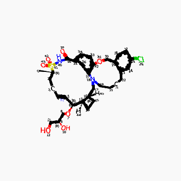 C[C@@H]1CC/C=C/[C@H](OC[C@H](O)CO)[C@@H]2CC[C@H]2CN2CCCCc3cc(Cl)ccc3COc3ccc(cc32)C(=O)NS1(=O)=O